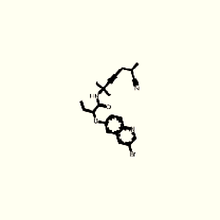 CCC(Oc1ccc2ncc(Br)cc2c1)C(=O)NC(C)(C)C#CCC(C)C#N